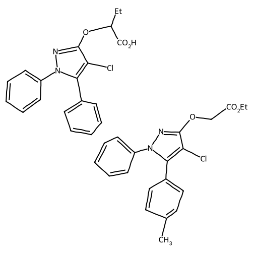 CCC(Oc1nn(-c2ccccc2)c(-c2ccccc2)c1Cl)C(=O)O.CCOC(=O)COc1nn(-c2ccccc2)c(-c2ccc(C)cc2)c1Cl